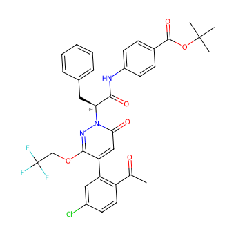 CC(=O)c1ccc(Cl)cc1-c1cc(=O)n([C@@H](Cc2ccccc2)C(=O)Nc2ccc(C(=O)OC(C)(C)C)cc2)nc1OCC(F)(F)F